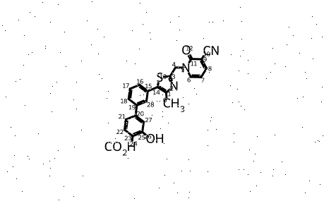 Cc1nc(Cn2cccc(C#N)c2=O)sc1-c1cccc(-c2ccc(C(=O)O)c(O)c2)c1